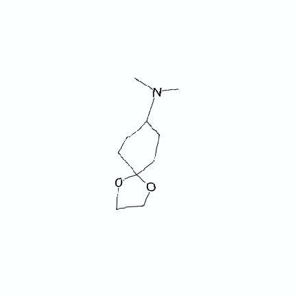 CN(C)C1CCC2(CC1)OCCO2